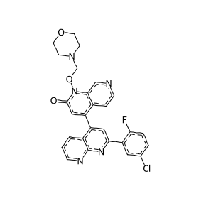 O=c1cc(-c2cc(-c3cc(Cl)ccc3F)nc3ncccc23)c2ccncc2n1OCN1CCOCC1